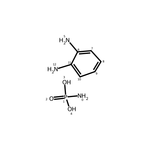 NP(=O)(O)O.Nc1ccccc1N